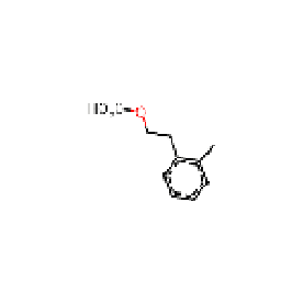 Cc1ccccc1CCOC(=O)O